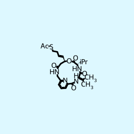 CC(=O)SCC/C=C/[C@@H]1CC(=O)NCc2cccc(n2)C(=O)NC(=C(C)C)C(=O)N[C@@H](C(C)C)C(=O)O1